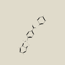 O=C(Oc1ccccc1)c1ccc(-n2nc3ccccc3n2)cc1